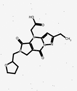 CCc1cc2n(CC(=O)O)c3c(c(=O)n2n1)CN(CC1CCCO1)C3=O